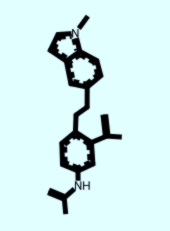 C=C(C)Nc1ccc(CCc2ccc3c(ccn3C)c2)c(C(=C)C)c1